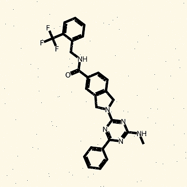 CNc1nc(-c2ccccc2)nc(N2Cc3ccc(C(=O)NCc4ccccc4C(F)(F)F)cc3C2)n1